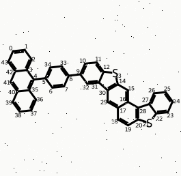 c1ccc2c(-c3ccc(-c4ccc5sc6cc7c(ccc8sc9ccccc9c87)cc6c5c4)cc3)c3ccccc3cc2c1